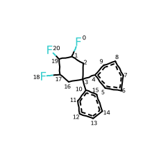 FC1CC(c2ccccc2)(c2ccccc2)CC(F)C1F